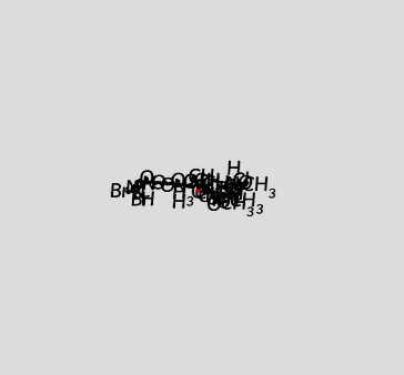 CC[C@H](CC(=O)[C@H](CCCCNC(=O)CCOCCOCCNC(=O)c1ccc2nc(CBr)c(CBr)nc2c1)N(C)C(C)=O)[C@]1(C)O[C@H]1[C@H](C)[C@@H]1C[C@](O)([C@@H](/C=C/C=C(\C)Cc2cc(NC)c(Cl)c(OC)c2)OC)NC(=O)O1